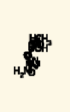 CN1C(=O)[C@@](O)(C#Cc2cccc(-n3nc(C(N)=O)c4cccnc43)c2)[C@H]2C[C@H]21